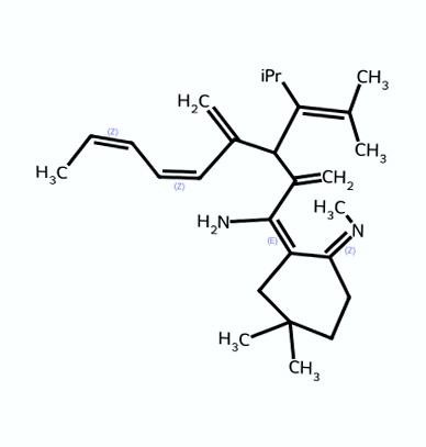 C=C(/C=C\C=C/C)C(C(=C)/C(N)=C1/CC(C)(C)CC/C1=N/C)C(=C(C)C)C(C)C